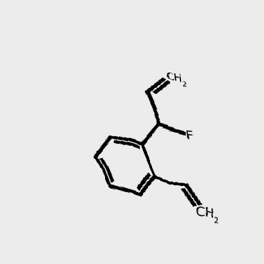 C=Cc1ccccc1C(F)C=C